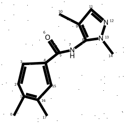 Cc1ccc(C(=O)Nc2c(C)cnn2C)cc1C